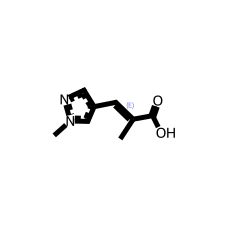 C/C(=C\c1cnn(C)c1)C(=O)O